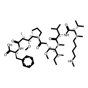 CC[C@H](C)[C@@H]([C@@H](CC(=O)N1CCC[C@H]1[C@H](OC)[C@@H](C)C(=O)N[C@@H](Cc1ccccc1)C(=O)O)OC)N(C)C(=O)[C@@H](NC(=O)[C@H](C(C)C)N(C)CCCCNC)C(C)C